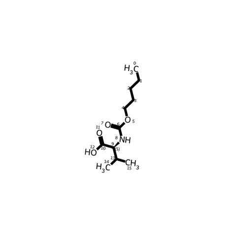 CCCCCOC(=O)N[C@H](C(=O)O)C(C)C